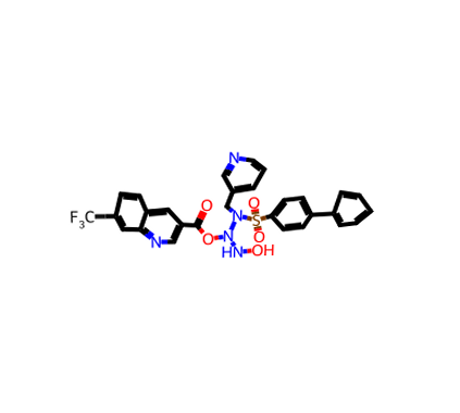 O=C(ON(NO)N(Cc1cccnc1)S(=O)(=O)c1ccc(-c2ccccc2)cc1)c1cnc2cc(C(F)(F)F)ccc2c1